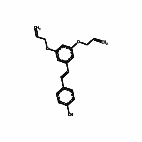 C=CCOc1cc(/C=C/c2ccc(O)cc2)cc(OCC=C)c1